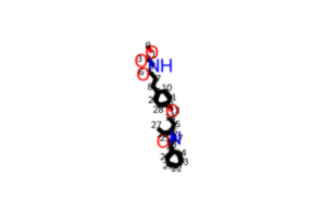 COC(=O)NC(=O)CCc1ccc(OCCc2nc(-c3ccccc3)oc2C)cc1